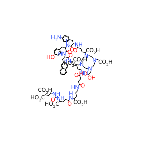 Nc1ccc(C[C@@H](NC(=O)CCC(C(=O)O)N2CCN(CC(=O)O)CCN(CC(O)O)CCN(CC(=O)O)CC2)C(=O)N[C@H](Cc2ccc(O)cc2)C(=O)N[C@H](Cc2ccc3ccccc3c2)C(=O)N[C@H](CCCCNC(=O)CCC(=O)NCCCC(NC(=O)CC[C@H](NC(=O)N[C@@H](CCC(=O)O)C(=O)O)C(=O)O)C(=O)O)C(=O)O)cc1